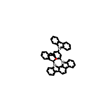 C1=CCC(n2c3ccccc3c3ccc4c5ccccc5n(-c5cc(-c6ccccc6)cc(-n6c7ccccc7c7ccccc76)c5)c4c32)C=C1